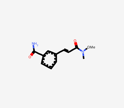 CON(C)C(=O)C=Cc1cccc(C(N)=O)c1